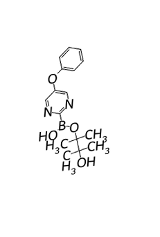 CC(C)(O)C(C)(C)OB(O)c1ncc(Oc2ccccc2)cn1